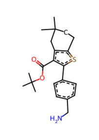 CC1(C)CCc2sc(-c3ccc(CN)cc3)c(C(=O)OC(C)(C)C)c2C1